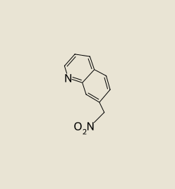 O=[N+]([O-])Cc1ccc2cccnc2c1